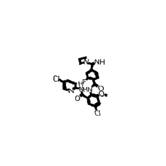 COc1cc(Cl)cc(C(=O)Nc2ccc(Cl)cn2)c1NC(=O)c1ccc(C(=N)N2CCC2)cc1F